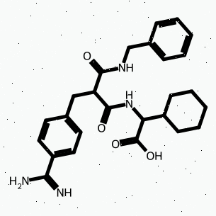 N=C(N)c1ccc(CC(C(=O)NCc2ccccc2)C(=O)NC(C(=O)O)C2CCCCC2)cc1